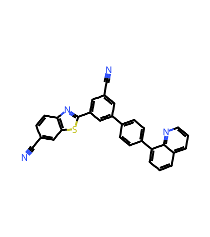 N#Cc1cc(-c2ccc(-c3cccc4cccnc34)cc2)cc(-c2nc3ccc(C#N)cc3s2)c1